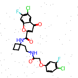 O=C(COc1ccc(Cl)c(F)c1)NCCC1(NC(=O)c2cc(=O)c3cc(Cl)c(F)cc3o2)CCC1